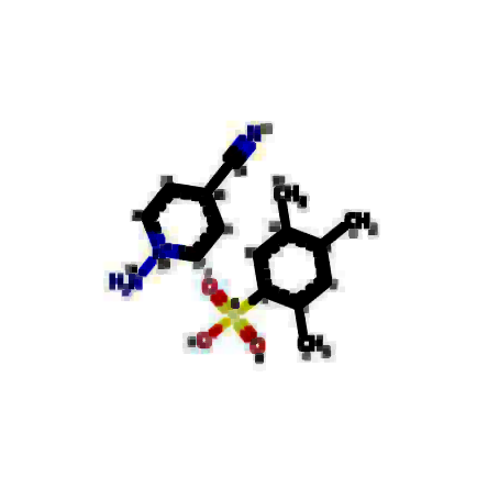 Cc1cc(C)c(S(=O)(=O)[O-])cc1C.N#Cc1cc[n+](N)cc1